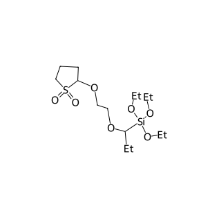 CCO[Si](OCC)(OCC)C(CC)OCCOC1CCCS1(=O)=O